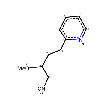 COC(CCc1ccccn1)CN=O